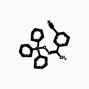 CC(=NO[Si](c1ccccc1)(c1ccccc1)c1ccccc1)c1cccc(C#N)c1